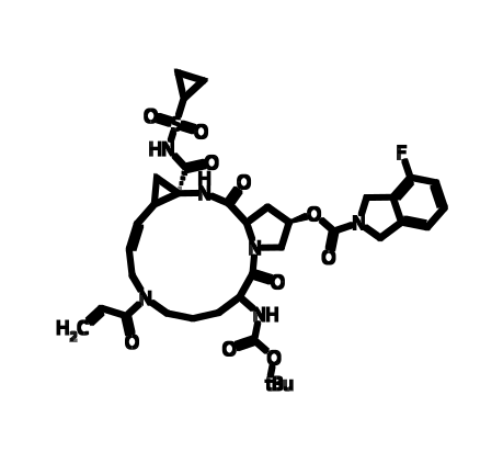 C=CC(=O)N1C/C=C\C2C[C@@]2(C(=O)NS(=O)(=O)C2CC2)NC(=O)C2C[C@@H](OC(=O)N3Cc4cccc(F)c4C3)CN2C(=O)C(NC(=O)OC(C)(C)C)CCC1